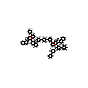 c1ccc(-c2ccc(N(c3ccc(-c4cccc(-c5ccc(-c6ccc(N(c7ccc(-c8ccccc8)cc7)c7c(-c8cccc9oc%10c%11ccccc%11ccc%10c89)ccc8ccccc78)cc6)cc5)c4)cc3)c3ccc(-c4ccccc4)cc3-c3cccc4oc5c6ccccc6ccc5c34)cc2)cc1